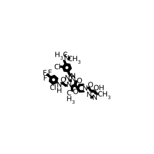 Cc1ncnc(C(=O)N2CCC3(CC2)OC(C)c2c3c(=O)n3nc(-c4ccc(CN(C)C)c(Cl)c4)nc3n2CC(=O)Nc2ccc(C(F)(F)F)cc2Cl)c1O